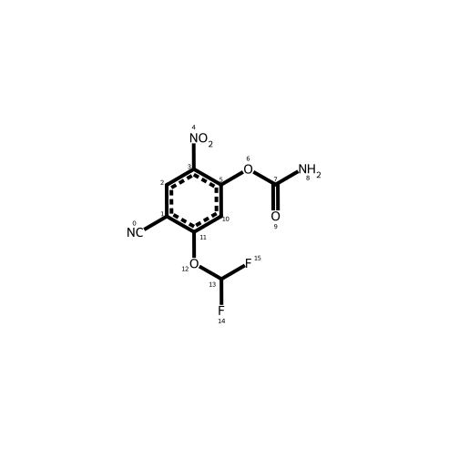 N#Cc1cc([N+](=O)[O-])c(OC(N)=O)cc1OC(F)F